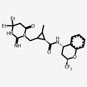 CCC1(CC)CC(=O)N(CC2C(C)[C@H]2C(=O)N[C@H]2C[C@H](C(F)(F)F)Oc3ccccc32)C(=N)N1